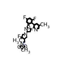 Cc1cnc([C@@H]2CC(N3CC(/C=N/S(C)(=O)=O)[C@@](C)(F)C3)=NO2)c(-c2c(F)cc(F)cc2F)c1